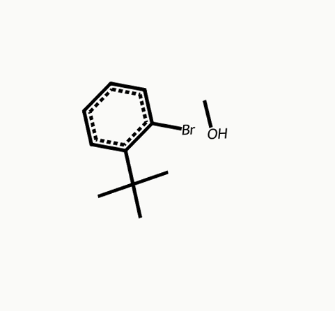 CC(C)(C)c1ccccc1Br.CO